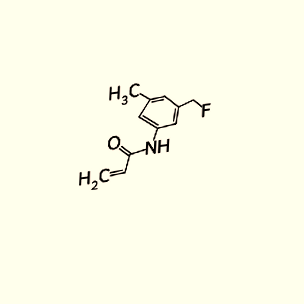 C=CC(=O)Nc1cc(C)cc(CF)c1